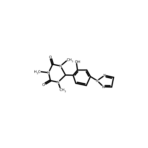 CN1C(=O)N(C)C(c2ccc(-n3nccn3)cc2O)N(C)C1=O